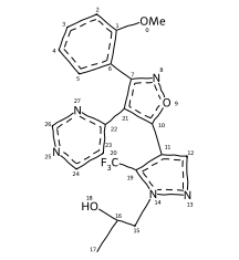 COc1ccccc1-c1noc(-c2cnn(CC(C)O)c2C(F)(F)F)c1-c1ccncn1